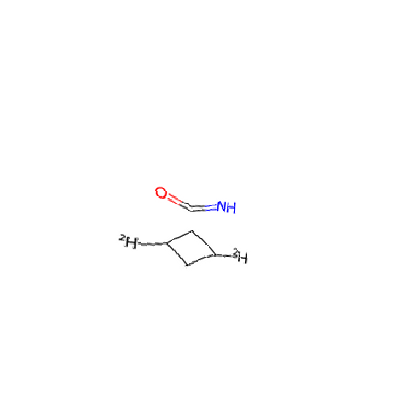 N=C=O.[2H]C1CC([2H])C1